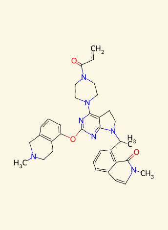 C=CC(=O)N1CCN(c2nc(Oc3cccc4c3CCN(C)C4)nc3c2CCN3C(C)c2cccc3ccn(C)c(=O)c23)CC1